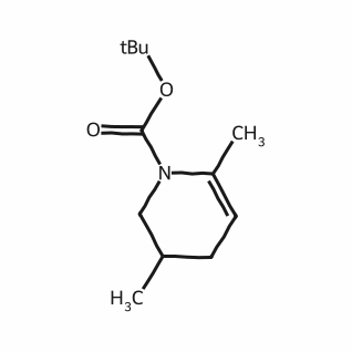 CC1=CCC(C)CN1C(=O)OC(C)(C)C